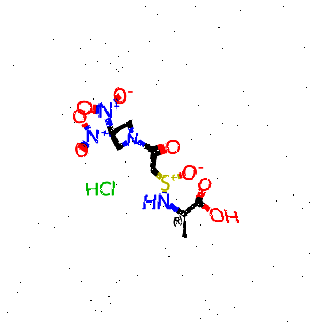 C[C@@H](N[S+]([O-])CC(=O)N1CC([N+](=O)[O-])([N+](=O)[O-])C1)C(=O)O.Cl